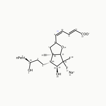 CCCCC[C@H](O)CC[C@@H]1[C@H]2CC(/C=C\C=CC(=O)[O-])OC2C(F)(F)[C@H]1O.[Na+]